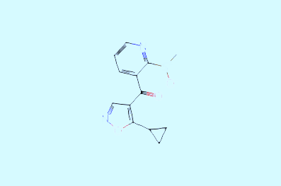 C[S+]([O-])c1ncccc1C(=O)c1cnoc1C1CC1